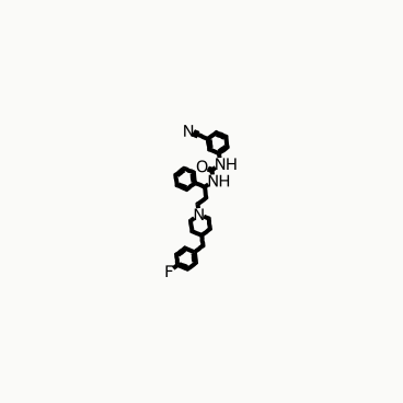 N#Cc1cccc(NC(=O)NC(CCN2CCC(Cc3ccc(F)cc3)CC2)c2ccccc2)c1